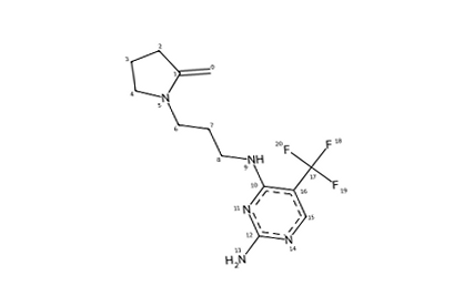 C=C1CCCN1CCCNc1nc(N)ncc1C(F)(F)F